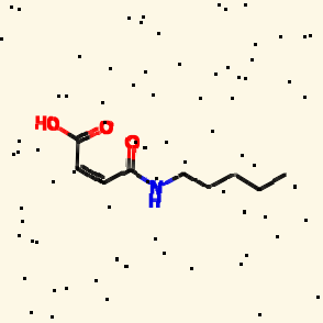 CCCCCNC(=O)/C=C\C(=O)O